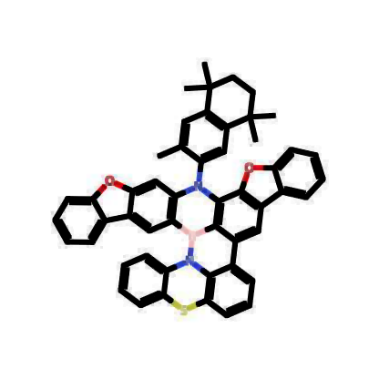 Cc1cc2c(cc1N1c3cc4oc5ccccc5c4cc3B3c4c(cc5c(oc6ccccc65)c41)-c1cccc4c1N3c1ccccc1S4)C(C)(C)CCC2(C)C